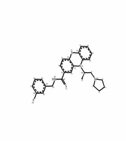 C[C@H](CN1CCCC1)N1c2ccccc2Sc2ccc(C(=S)NCc3cccc(F)c3)cc21